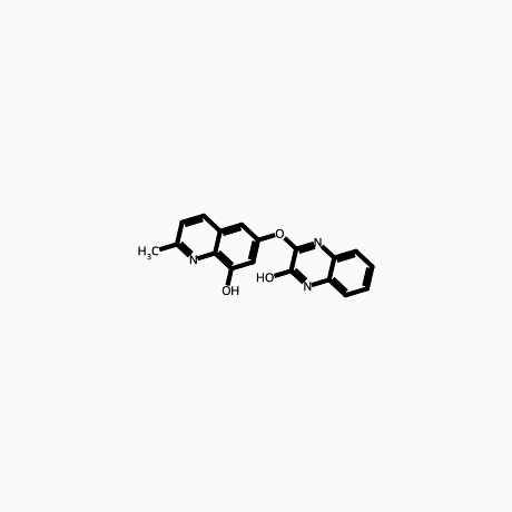 Cc1ccc2cc(Oc3nc4ccccc4nc3O)cc(O)c2n1